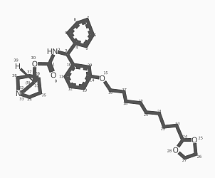 O=C(NC(c1ccccc1)c1cccc(OCCCCCCCCC2OCCO2)c1)O[C@H]1CN2CCC1CC2